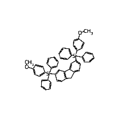 COc1ccc([Si](c2ccccc2)(c2ccccc2)c2ccc3c(c2)-c2cc([Si](c4ccccc4)(c4ccccc4)c4ccc(OC)cc4)ccc2C3)cc1